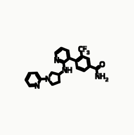 NC(=O)c1ccc(-c2cccnc2NC2CCN(c3ccccn3)C2)c(C(F)(F)F)c1